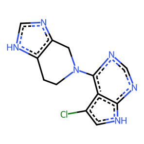 Clc1c[nH]c2ncnc(N3CCc4[nH]cnc4C3)c12